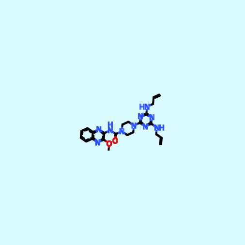 C=CCNc1nc(NCC=C)nc(N2CCN(C(=O)Nc3nc4ccccc4nc3OC)CC2)n1